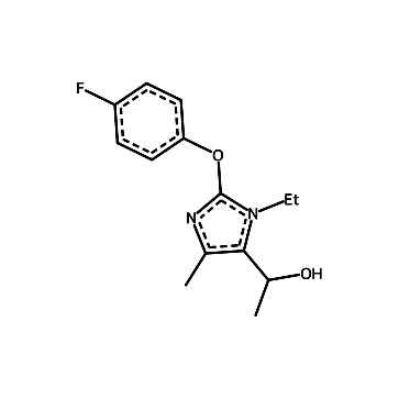 CCn1c(Oc2ccc(F)cc2)nc(C)c1C(C)O